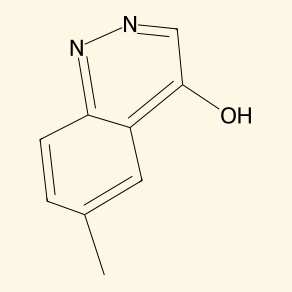 Cc1ccc2nncc(O)c2c1